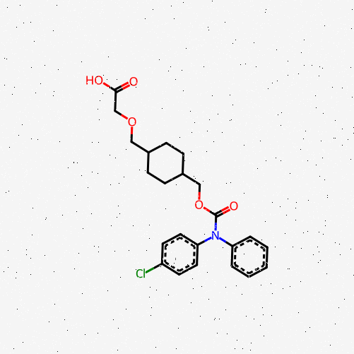 O=C(O)COCC1CCC(COC(=O)N(c2ccccc2)c2ccc(Cl)cc2)CC1